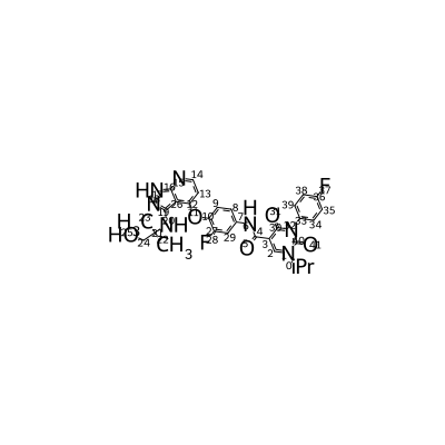 CC(C)n1cc(C(=O)Nc2ccc(Oc3ccnc4[nH]nc(NC(C)(C)CO)c34)c(F)c2)c(=O)n(-c2ccc(F)cc2)c1=O